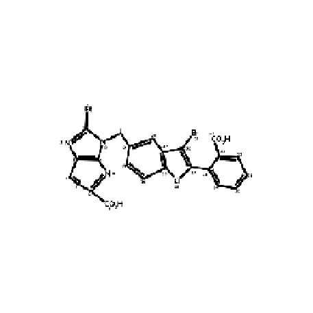 CCc1nc2ccc(C(=O)O)nc2n1Cc1ccc2oc(-c3ccccc3C(=O)O)c(Br)c2c1